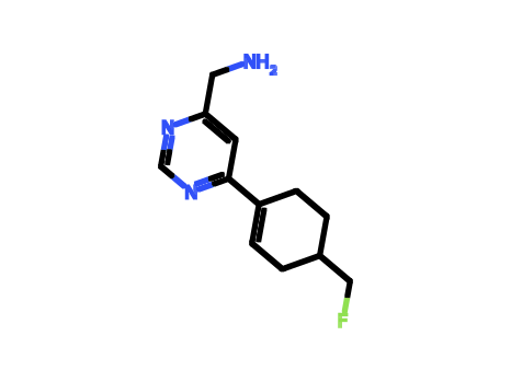 NCc1cc(C2=CCC(CF)CC2)ncn1